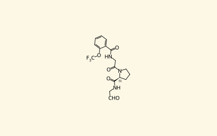 O=CCNC(=O)[C@@H]1CCCN1C(=O)CNC(=O)c1ccccc1OC(F)(F)F